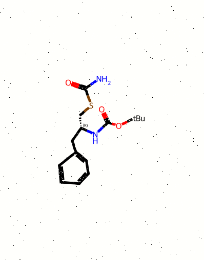 CC(C)(C)OC(=O)N[C@@H](CSC(N)=O)Cc1ccccc1